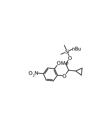 CCCC[Si](C)(C)OCC(Oc1ccc([N+](=O)[O-])cc1OC)C1CC1